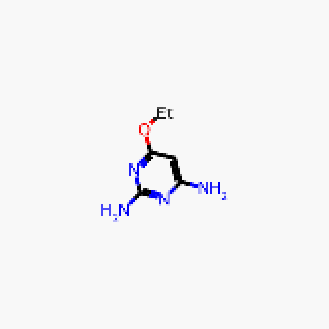 CCOc1cc(N)nc(N)n1